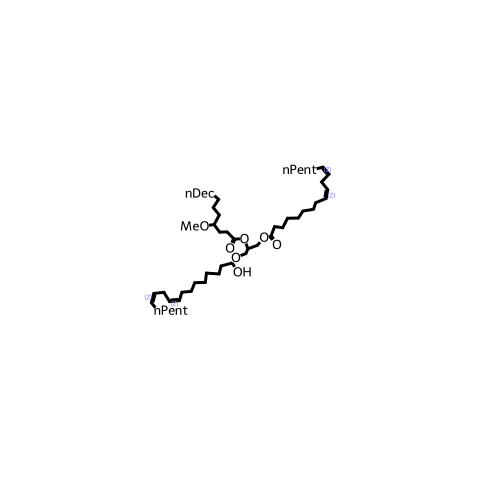 CCCCC/C=C\C/C=C\CCCCCCCC(=O)OCC(COC(O)CCCCCCC/C=C\C/C=C\CCCCC)OC(=O)CCC(CCCCCCCCCCCCC)OC